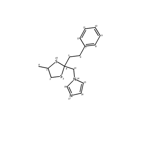 CC1CSC(CCc2ccccc2)(Cn2ccnc2)S1